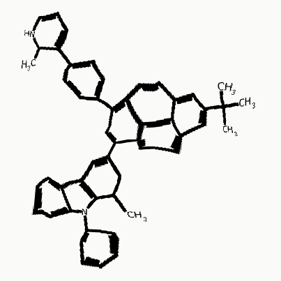 CC1NC=CC=C1c1ccc(-c2cc(C3=Cc4c(n(-c5ccccc5)c5ccccc45)C(C)C3)c3ccc4cc(C(C)(C)C)cc5ccc2c3c45)cc1